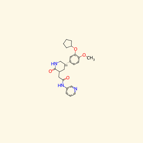 COc1ccc([C@H]2CNC(=O)C(CC(=O)Nc3cccnc3)C2)cc1OC1CCCC1